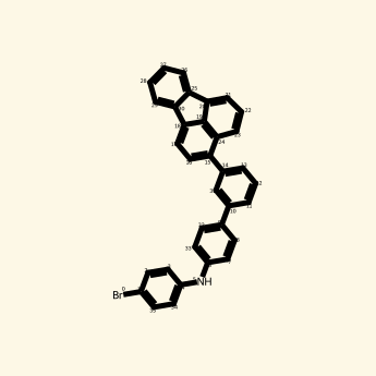 Brc1ccc(Nc2ccc(-c3cccc(-c4ccc5c6c(cccc46)-c4ccccc4-5)c3)cc2)cc1